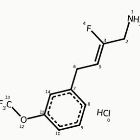 Cl.NC/C(F)=C/Cc1cccc(OC(F)(F)F)c1